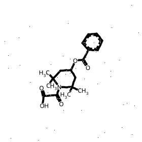 CC1(C)CC(OC(=O)c2ccccc2)CC(C)(C)N1C(=O)C(=O)O